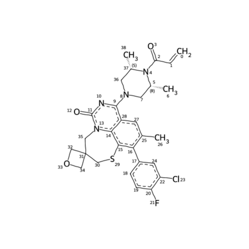 C=CC(=O)N1[C@H](C)CN(c2nc(=O)n3c4c(c(-c5ccc(F)c(Cl)c5)c(C)cc24)SCC2(COC2)C3)C[C@@H]1C